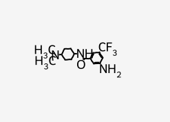 CN(C)C1CCC(NC(=O)c2cc(N)cc(C(F)(F)F)c2)CC1